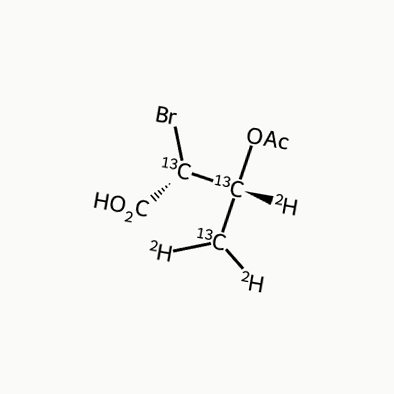 [2H][13CH]([2H])[13C@@]([2H])(OC(C)=O)[13C@@H](Br)[13C](=O)O